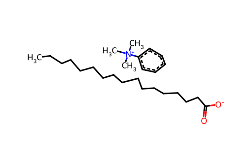 CCCCCCCCCCCCCCCCC(=O)[O-].C[N+](C)(C)c1ccccc1